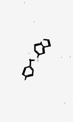 O=C(Nc1ccc2sccc2c1)c1ccc(F)cc1